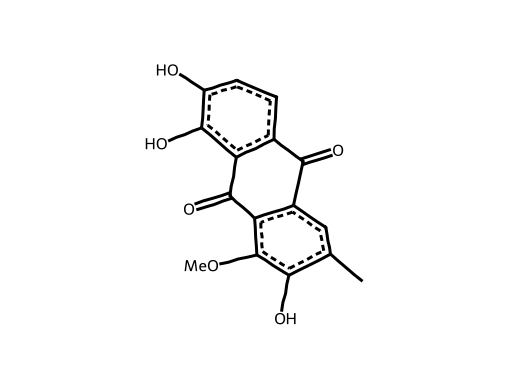 COc1c(O)c(C)cc2c1C(=O)c1c(ccc(O)c1O)C2=O